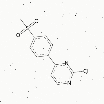 CS(=O)(=O)c1ccc(-c2ccnc(Cl)n2)cc1